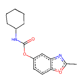 Cc1nc2cc(OC(=O)NC3CCCCC3)ccc2o1